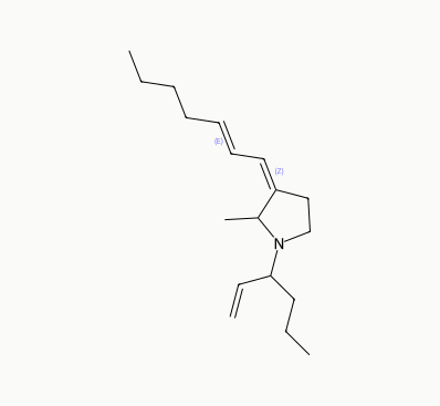 C=CC(CCC)N1CC/C(=C/C=C/CCCC)C1C